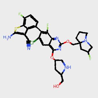 N#Cc1c(N)sc2c(F)ccc(-c3c(Cl)cc4c(OC5CNC(CO)C5)nc(OCC56CCCN5CC(F)C6)nc4c3F)c12